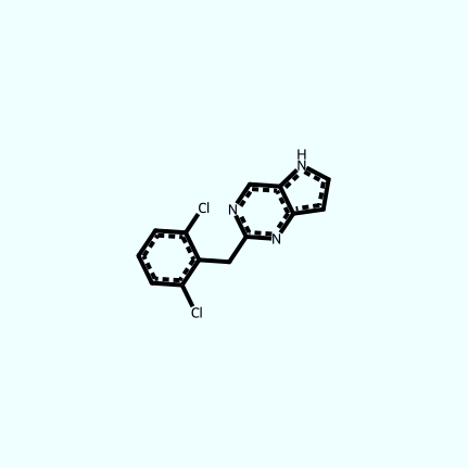 Clc1cccc(Cl)c1Cc1ncc2[nH]ccc2n1